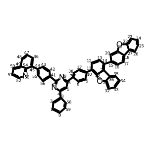 c1ccc(-c2cc(-c3ccc(-c4ccc(-c5ccc6c(c5)oc5ccccc56)c5c4oc4ccccc45)cc3)nc(-c3ccc(-c4cccc5cccnc45)cc3)n2)cc1